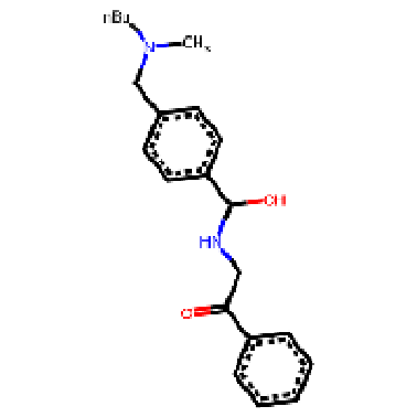 CCCCN(C)Cc1ccc(C(O)NCC(=O)c2ccccc2)cc1